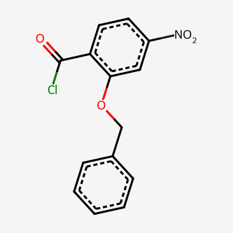 O=C(Cl)c1ccc([N+](=O)[O-])cc1OCc1ccccc1